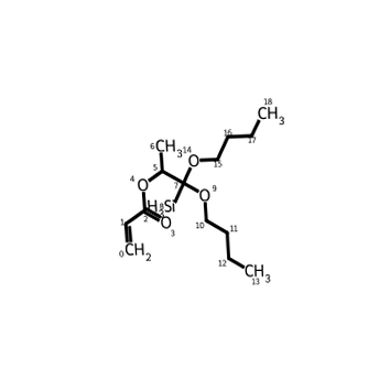 C=CC(=O)OC(C)C([SiH3])(OCCCC)OCCCC